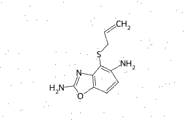 C=CCSc1c(N)ccc2oc(N)nc12